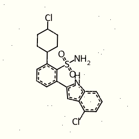 NS(=O)(=O)c1c(-c2cc3c(Cl)cccc3[nH]2)cccc1C1CCC(Cl)CC1